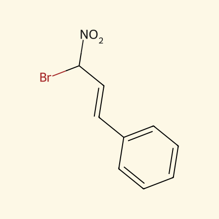 O=[N+]([O-])C(Br)C=Cc1ccccc1